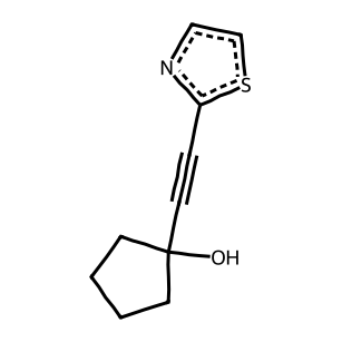 OC1(C#Cc2nccs2)CCCC1